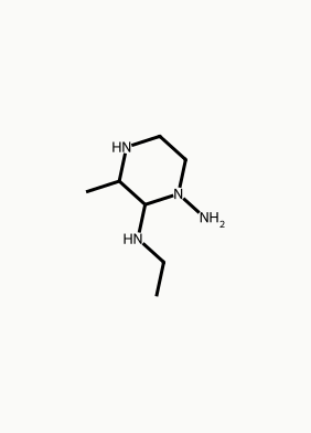 CCNC1C(C)NCCN1N